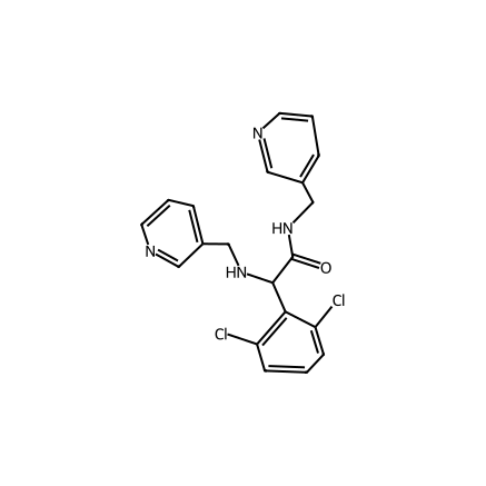 O=C(NCc1cccnc1)C(NCc1cccnc1)c1c(Cl)cccc1Cl